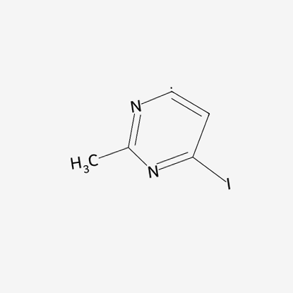 Cc1n[c]cc(I)n1